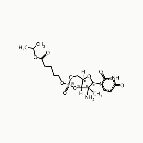 CC(C)OC(=O)CCCCO[P@@]1(=O)OC[C@H]2O[C@@H](n3ccc(=O)[nH]c3=O)[C@](C)(N)[C@@H]2O1